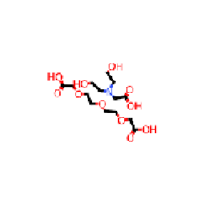 O=C(O)CN(CCO)CCO.O=C(O)COCCOCCOCC(=O)O